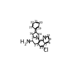 NCCc1cc(Cl)c2cccnc2c1N1CCC(c2ccccc2)C1